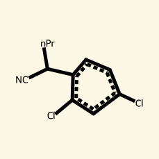 CCCC(C#N)c1ccc(Cl)cc1Cl